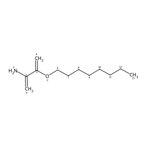 C=C(N)C(=C)OCCCCCCCC